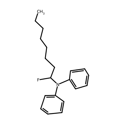 CCCCCCCC(F)N(c1ccccc1)c1ccccc1